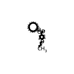 CCCCOc1ccc(C(=O)OO[C]2CCCCCCCCCCC2)cc1